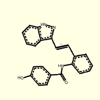 O=C(Nc1ccccc1/C=C/c1n[nH]c2ccccc12)c1ccc(O)cc1